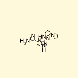 Nc1cncc(-c2ccc3[nH]nc(-c4nc5c(N6CCCCC6)cccc5[nH]4)c3n2)c1